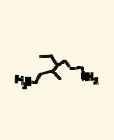 CCC(CCCN)C(C)CCN